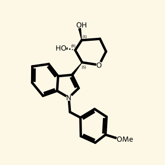 COc1ccc(Cn2cc([C@@H]3OCC[C@H](O)[C@H]3O)c3ccccc32)cc1